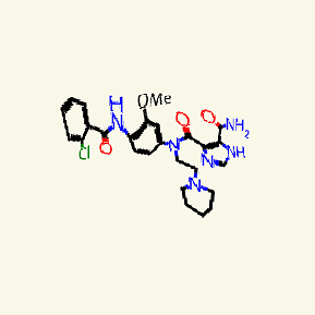 COc1cc(N(CCN2CCCCC2)C(=O)c2nc[nH]c2C(N)=O)ccc1NC(=O)c1ccccc1Cl